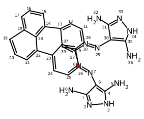 Nc1n[nH]c(N)c1N=Nc1cccc(-c2cccc3cccc(-c4cccc(N=Nc5c(N)n[nH]c5N)c4)c23)c1